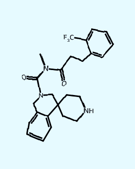 CN(C(=O)CCc1ccccc1C(F)(F)F)C(=O)N1Cc2ccccc2C2(CCNCC2)C1